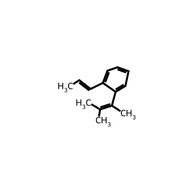 CC=Cc1ccccc1C(C)=C(C)C